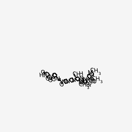 CCc1cc(Nc2ncc(Br)c(Nc3ccc4nc(C)ccc4c3P(C)(C)=O)n2)c(OC)cc1N1CCC(N2CCN(C(=O)C3CN(c4cccc5c4oc(=O)n5C4CCC(=O)NC4=O)C3)CC2)CC1